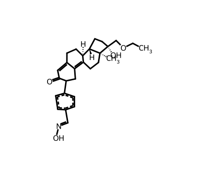 CCOC[C@]1(O)CC[C@H]2[C@@H]3CCC4=CC(=O)C(c5ccc(C=NO)cc5)CC4=C3CC[C@@]21C